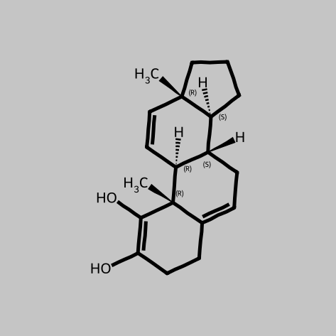 C[C@]12C(=CC[C@@H]3[C@@H]1C=C[C@]1(C)CCC[C@@H]31)CCC(O)=C2O